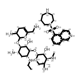 CCN[C@@H]1C[C@H](N)[C@@H](OC2OC(CN)=CCC2N)[C@H](O)[C@H]1O[C@H]1OC[C@](C)(O)[C@H](NC)[C@H]1O.O=S(=O)(c1cccc2cnccc12)N1CCCNCC1